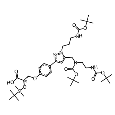 CC(C)(C)OC(=O)NCCCn1nc(-c2ccc(OC[C@@H](O[Si](C)(C)C(C)(C)C)C(=O)O)cc2)cc1CN(CCNC(=O)OC(C)(C)C)C(=O)OC(C)(C)C